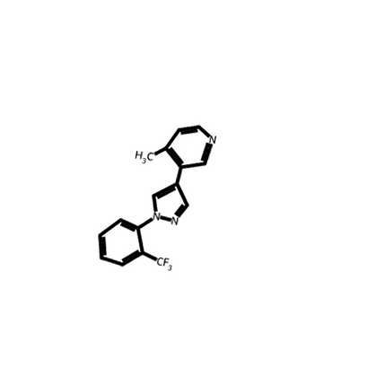 Cc1ccncc1-c1cnn(-c2ccccc2C(F)(F)F)c1